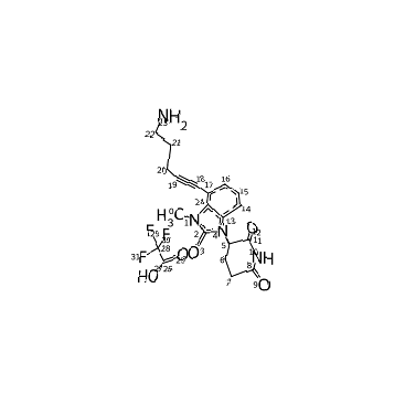 Cn1c(=O)n(C2CCC(=O)NC2=O)c2cccc(C#CCCCN)c21.O=C(O)C(F)(F)F